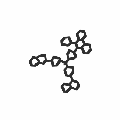 c1ccc(-c2c(-c3ccc(N(c4ccc(-c5ccc6ccccc6c5)cc4)c4ccc(-c5cccc6ccccc56)cc4)cc3)c3ccccc3c3ccccc23)cc1